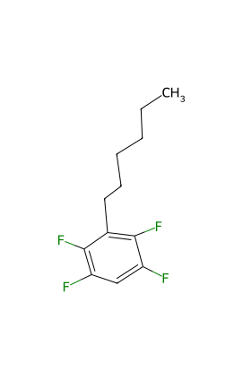 CCCCCCc1c(F)c(F)cc(F)c1F